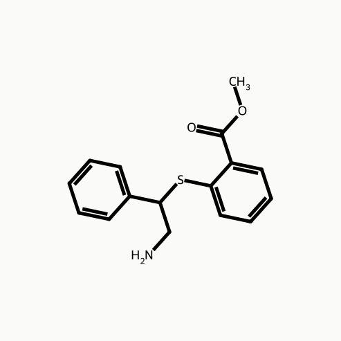 COC(=O)c1ccccc1SC(CN)c1ccccc1